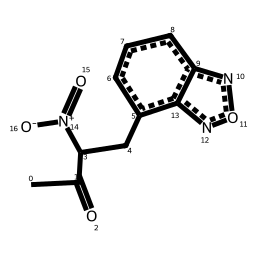 CC(=O)C(Cc1cccc2nonc12)[N+](=O)[O-]